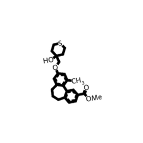 COC(=O)c1ccc2c(c1)-c1c(C)cc(OCC3(O)CCSCC3)cc1CCC2